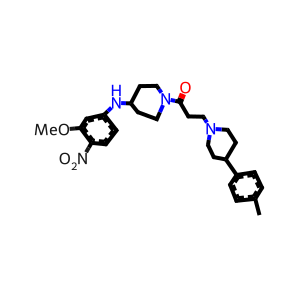 COc1cc(NC2CCN(C(=O)CCN3CCC(c4ccc(C)cc4)CC3)CC2)ccc1[N+](=O)[O-]